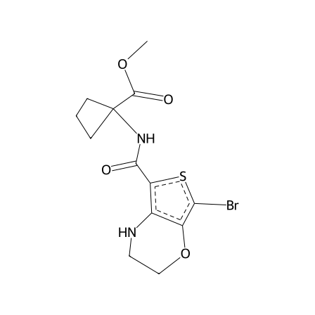 COC(=O)C1(NC(=O)c2sc(Br)c3c2NCCO3)CCC1